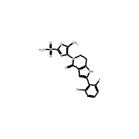 Cc1sc(S(C)(=O)=O)nc1N1CCc2[nH]c(-c3c(F)cccc3F)cc2C1=O